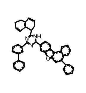 C1=CC2=C(C=CCC2C2=NC(c3cccc(-c4ccccc4)c3)=NC(c3ccc4c(c3)oc3cc(-c5ccccc5)c5ccccc5c34)N2)CC1